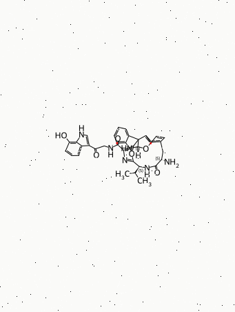 CC(C)[C@@H]1NC(=O)[C@@H](N)Cc2ccc3c(c2)C2(c4ccccc4N[C@H]2O3)c2oc1nc2C(=O)NCC(=O)c1c[nH]c2c(O)cccc12